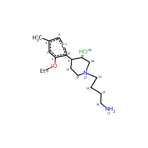 CCOc1cc(C)ccc1C1CCN(CCCCN)CC1.Cl